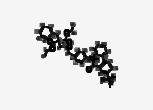 CCOC(=O)C(CC(=O)Cc1ccc(NC(=O)c2cc(C(F)(F)F)ccc2-c2ccccc2)cc1)(Cc1ccccc1)C(=O)OCC